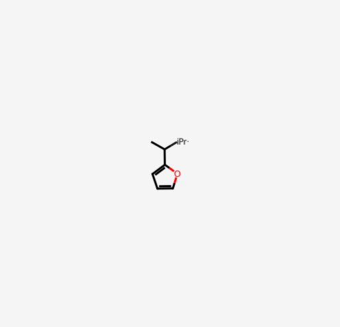 C[C](C)C(C)c1ccco1